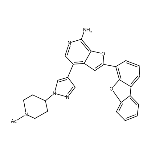 CC(=O)N1CCC(n2cc(-c3cnc(N)c4oc(-c5cccc6c5oc5ccccc56)cc34)cn2)CC1